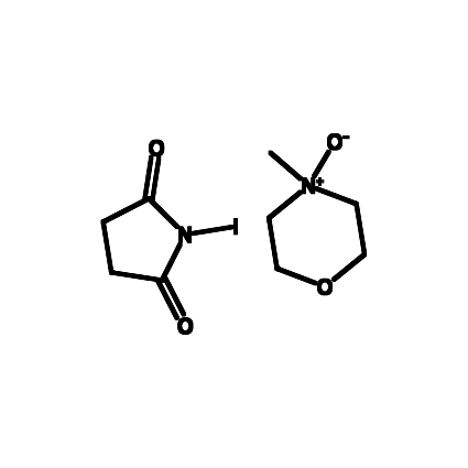 C[N+]1([O-])CCOCC1.O=C1CCC(=O)N1I